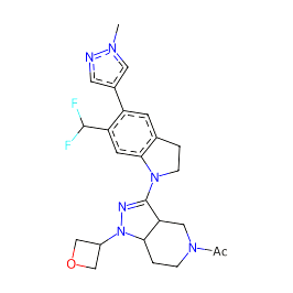 CC(=O)N1CCC2C(C1)C(N1CCc3cc(-c4cnn(C)c4)c(C(F)F)cc31)=NN2C1COC1